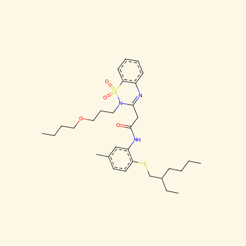 CCCCOCCCN1C(CC(=O)Nc2cc(C)ccc2SCC(CC)CCCC)=Nc2ccccc2S1(=O)=O